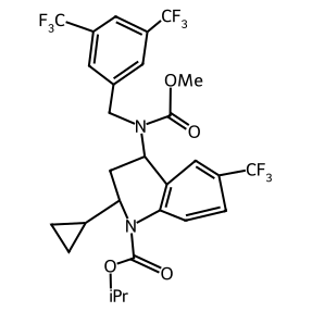 COC(=O)N(Cc1cc(C(F)(F)F)cc(C(F)(F)F)c1)C1CC(C2CC2)N(C(=O)OC(C)C)c2ccc(C(F)(F)F)cc21